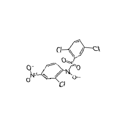 CON(c1ccc([N+](=O)[O-])cc1Cl)S(=O)(=O)c1cc(Cl)ccc1Cl